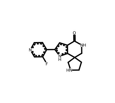 O=C1NCC2(CCNC2)c2[nH]c(-c3ccncc3F)cc21